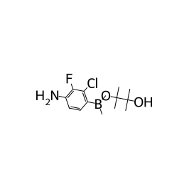 CB(OC(C)(C)C(C)(C)O)c1ccc(N)c(F)c1Cl